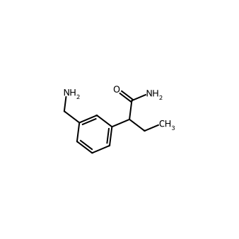 CCC(C(N)=O)c1cccc(CN)c1